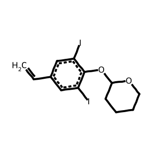 C=Cc1cc(I)c(OC2CCCCO2)c(I)c1